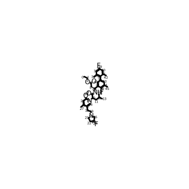 CCOC(=O)C[C@H](NC(=O)C(CC(C)C)n1cc(CCN2CC[C@@H](F)C2)c(C)cc1=O)c1cc(-c2c(C)cc(F)cc2C)cc(C)c1F